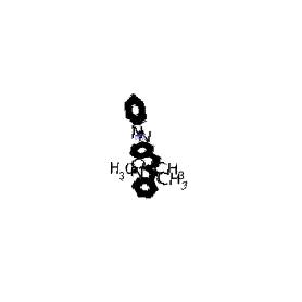 CN1c2ccccc2C(C)(C)C12C=Cc1cc(/N=N/c3ccccc3)ccc1O2